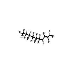 FC(F)C(F)C(F)C(F)C(F)(F)C(F)(F)C(F)(F)C(F)(F)C(F)(F)C(F)(F)Cl